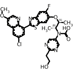 COc1cnc2c(-c3nc4cc(F)c(O[C@@H](C)[C@@H](C)N(C(=O)O)c5cnc(CCO)nc5)cc4s3)cc(Cl)cc2c1